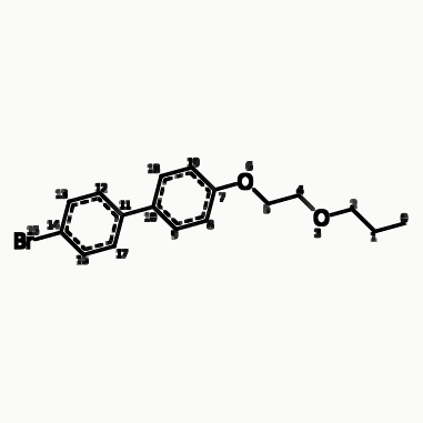 CCCOCCOc1ccc(-c2ccc(Br)cc2)cc1